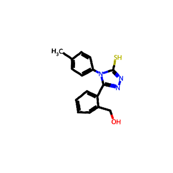 Cc1ccc(-n2c(S)nnc2-c2ccccc2CO)cc1